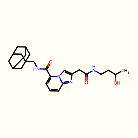 CC(O)CCNC(=O)Cc1cn2c(C(=O)NCC34CC5CC(CC(C5)C3)C4)cccc2n1